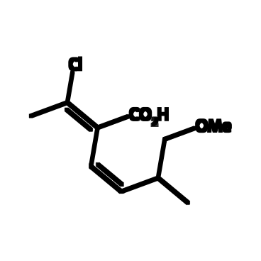 COCC(C)/C=C\C(C(=O)O)=C(/C)Cl